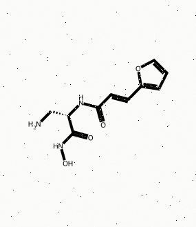 NC[C@H](NC(=O)/C=C/c1ccco1)C(=O)NO